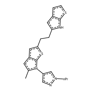 CCCn1cc(-n2c(C)cc3cc(CCc4cc5ccsc5[nH]4)sc32)cn1